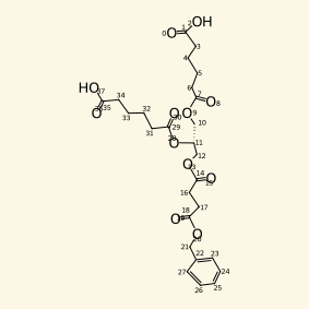 O=C(O)CCCCC(=O)OC[C@H](COC(=O)CCC(=O)OCc1ccccc1)OC(=O)CCCCC(=O)O